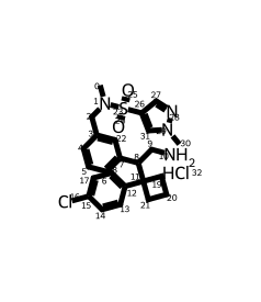 CN(Cc1cccc(C(CN)C2(c3ccc(Cl)cc3)CCC2)c1)S(=O)(=O)c1cnn(C)c1.Cl